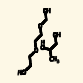 CC(O)CO.OCCOCCOCO